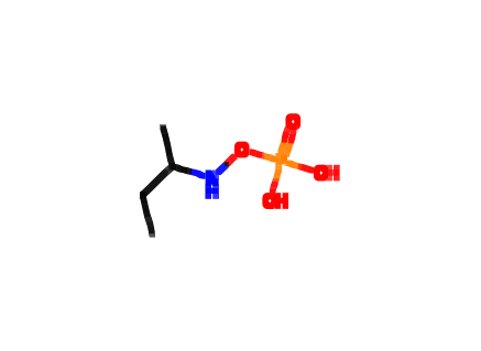 CCC(C)NOP(=O)(O)O